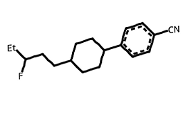 CCC(F)CCC1CCC(c2ccc(C#N)cc2)CC1